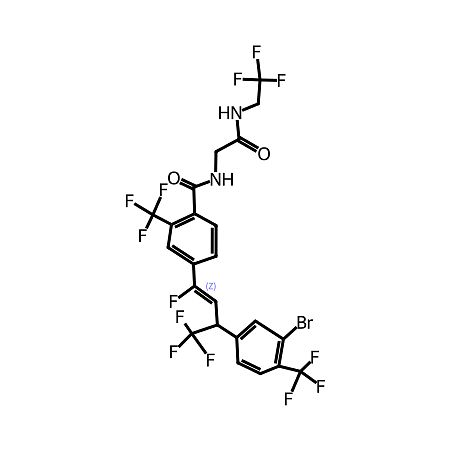 O=C(CNC(=O)c1ccc(/C(F)=C/C(c2ccc(C(F)(F)F)c(Br)c2)C(F)(F)F)cc1C(F)(F)F)NCC(F)(F)F